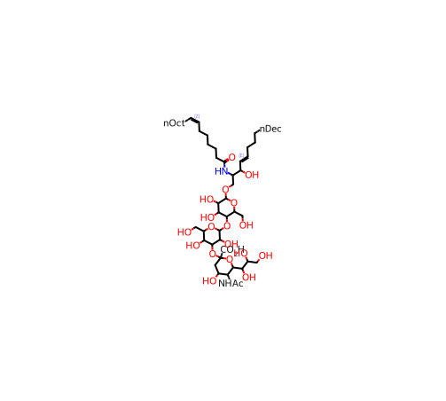 CCCCCCCC/C=C\CCCCCC(=O)NC(COC1OC(CO)C(OC2OC(CO)C(O)C(OC3(C(=O)O)CC(O)C(NC(C)=O)C(C(O)C(O)CO)O3)C2O)C(O)C1O)C(O)/C=C/CCCCCCCCCCCCC